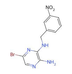 Nc1ncc(Br)nc1NCc1cccc([N+](=O)[O-])c1